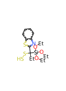 CCO[Si](OCC)(OCC)C(CC)(SS)c1nc2ccccc2s1